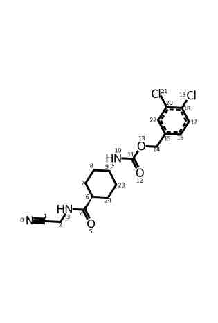 N#CCNC(=O)[C@H]1CC[C@H](NC(=O)OCc2ccc(Cl)c(Cl)c2)CC1